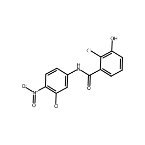 O=C(Nc1ccc([N+](=O)[O-])c(Cl)c1)c1cccc(O)c1Cl